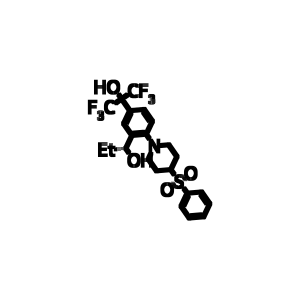 CC[C@@H](O)c1cc(C(O)(C(F)(F)F)C(F)(F)F)ccc1N1CCC(S(=O)(=O)c2ccccc2)CC1